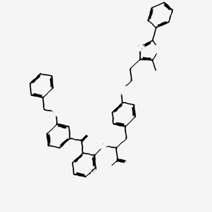 COC(=O)C(Cc1ccc(OCCc2nc(-c3ccccc3)oc2C)cc1)Nc1ccccc1C(=O)c1cccc(OCc2ccccc2)c1